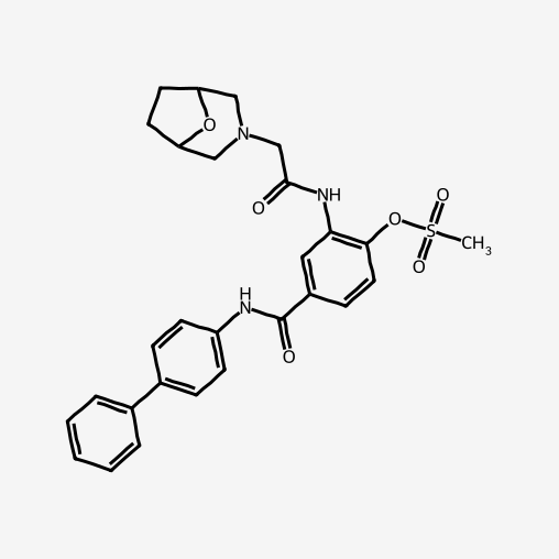 CS(=O)(=O)Oc1ccc(C(=O)Nc2ccc(-c3ccccc3)cc2)cc1NC(=O)CN1CC2CCC(C1)O2